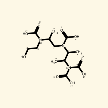 CC(CN(C(=O)O)C(C)C(C)N(C(=O)O)C(=O)O)N(CCO)C(=O)O